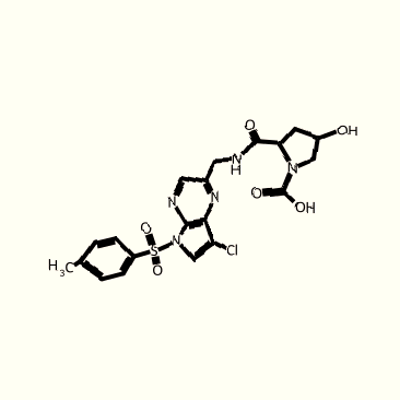 Cc1ccc(S(=O)(=O)n2cc(Cl)c3nc(CNC(=O)C4CC(O)CN4C(=O)O)cnc32)cc1